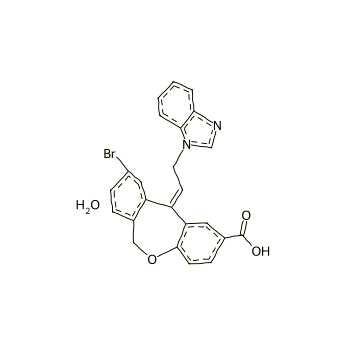 O.O=C(O)c1ccc2c(c1)/C(=C/Cn1cnc3ccccc31)c1cc(Br)ccc1CO2